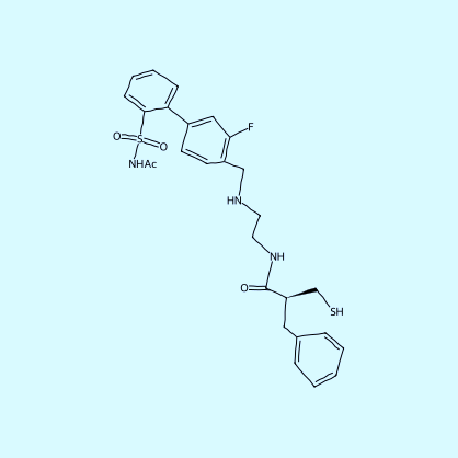 CC(=O)NS(=O)(=O)c1ccccc1-c1ccc(CNCCNC(=O)[C@@H](CS)Cc2ccccc2)c(F)c1